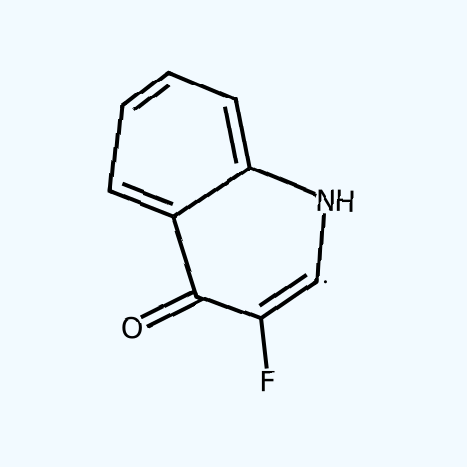 O=c1c(F)[c][nH]c2ccccc12